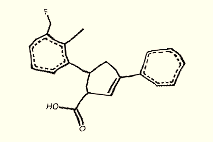 Cc1c(F)cccc1C1CC(c2ccccc2)=CC1C(=O)O